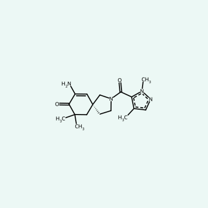 Cc1cnn(C)c1C(=O)N1CC[C@]2(C=C(N)C(=O)C(C)(C)C2)C1